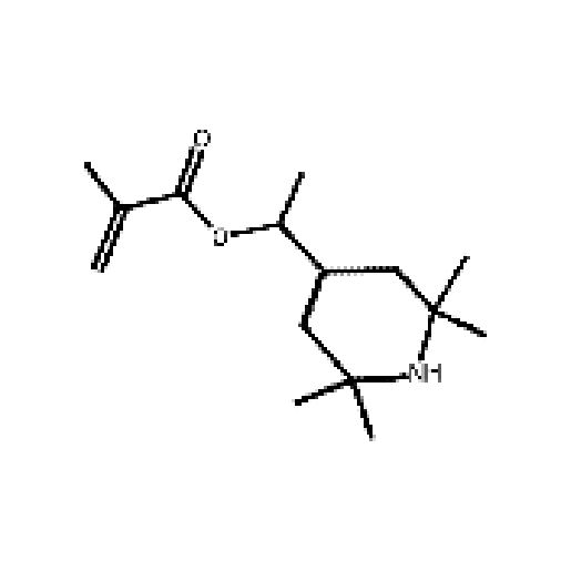 C=C(C)C(=O)OC(C)C1CC(C)(C)NC(C)(C)C1